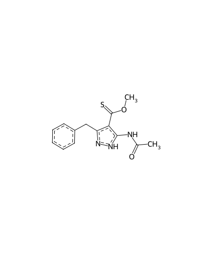 COC(=S)c1c(Cc2ccccc2)n[nH]c1NC(C)=O